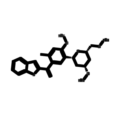 C=C(c1cc2ccccc2s1)c1cc([C@H]2C[C@@H](OCCCC)C[C@@H](COCCCC)O2)c(OCCCC)cc1C